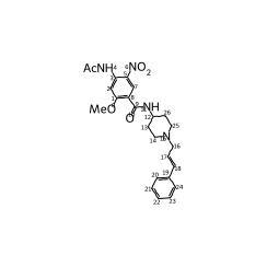 COc1cc(NC(C)=O)c([N+](=O)[O-])cc1C(=O)NC1CCN(C/C=C/c2ccccc2)CC1